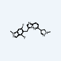 CN1CC(c2ccc3ncc(Cc4c(F)cc5c(cnn5C)c4F)n3n2)C=N1